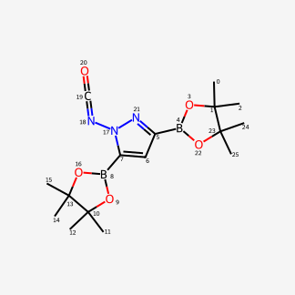 CC1(C)OB(c2cc(B3OC(C)(C)C(C)(C)O3)n(N=C=O)n2)OC1(C)C